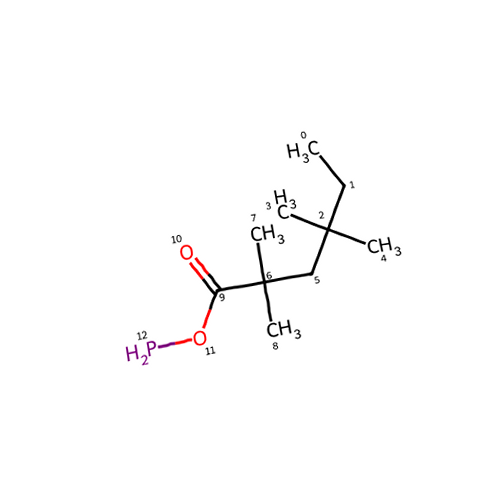 CCC(C)(C)CC(C)(C)C(=O)OP